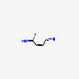 N=C/C=C\C(=N)F